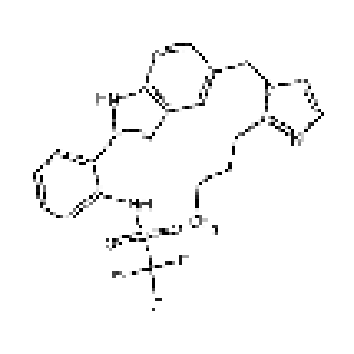 CCCCc1nccn1Cc1ccc2[nH]c(-c3ccccc3NS(=O)(=O)C(F)(F)F)cc2c1